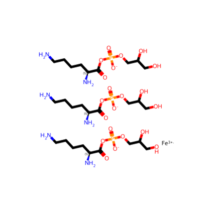 NCCCC[C@H](N)C(=O)OP(=O)([O-])OCC(O)CO.NCCCC[C@H](N)C(=O)OP(=O)([O-])OCC(O)CO.NCCCC[C@H](N)C(=O)OP(=O)([O-])OCC(O)CO.[Fe+3]